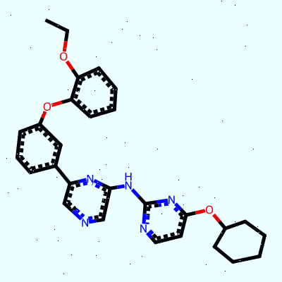 CCOc1ccccc1Oc1cccc(-c2cncc(Nc3nccc(OC4CCCCC4)n3)n2)c1